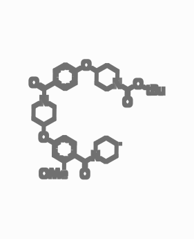 COc1cc(OC2CCN(C(=O)c3ccc(OC4CCN(C(=O)OC(C)(C)C)CC4)cc3)CC2)ccc1C(=O)N1CC[CH]CC1